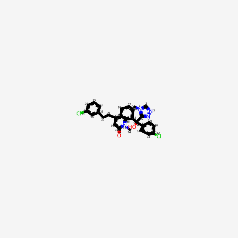 Cn1cnnc1C(O)(c1ccc(Cl)cc1)c1cccc2c(CCc3cccc(Cl)c3)cc(=O)n(C)c12